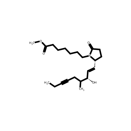 CCC#CCC(C)[C@@H](O)/C=C/[C@H]1CCC(=O)N1CCCCCCC(=O)OC